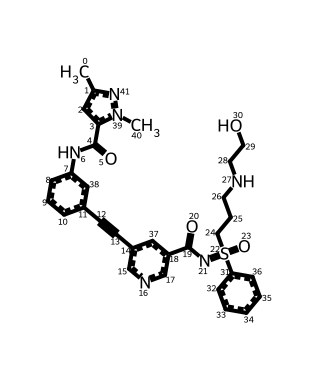 Cc1cc(C(=O)Nc2cccc(C#Cc3cncc(C(=O)N=S(=O)(CCCNCCO)c4ccccc4)c3)c2)n(C)n1